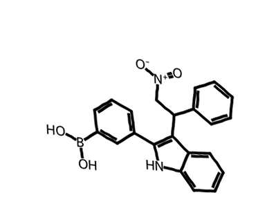 O=[N+]([O-])CC(c1ccccc1)c1c(-c2cccc(B(O)O)c2)[nH]c2ccccc12